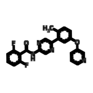 Cc1ccc(Oc2cccnc2)cc1-c1cnc(NC(=O)c2c(F)cccc2F)cn1